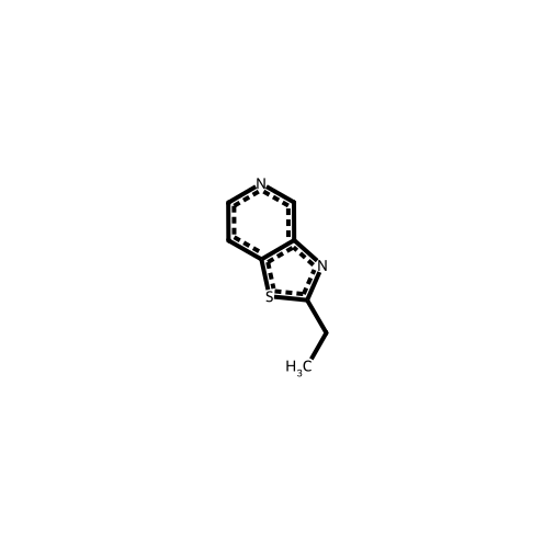 CCc1nc2cnccc2s1